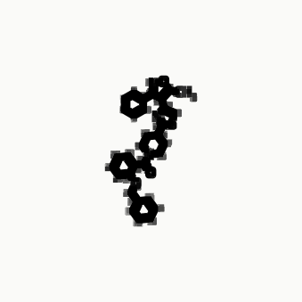 Cc1onc(-c2ccccc2)c1-c1csc(C2CCN(C(=O)c3ccccc3OCc3ccccc3)CC2)n1